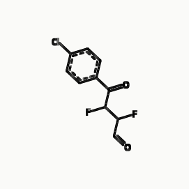 O=CC(F)C(F)C(=O)c1ccc(Cl)cc1